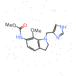 COC(=O)Nc1ccc2c(c1OC)N(Cc1c[nH]cn1)CC2